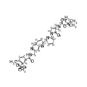 Cc1ccc(C(=O)NCc2cc3nc(-c4cccc(N5CCC6(CN(C(=O)OC(C)(C)C)C6)C5=O)n4)ccc3cn2)cc1S(C)(=O)=O